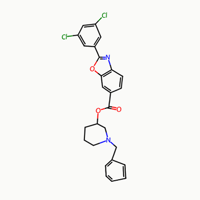 O=C(OC1CCCN(Cc2ccccc2)C1)c1ccc2nc(-c3cc(Cl)cc(Cl)c3)oc2c1